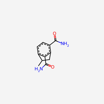 CC1Cc2c(C(N)=O)ccc1c2C(N)=O